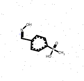 CP(=O)(O)c1ccc(/C=N\O)cc1